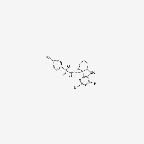 C=C1CCCC2Nc3c(F)cc(Br)cc3C12CCNS(=O)(=O)c1ccc(Br)cc1